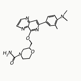 Cc1cc(-c2cc3nccnc3c(OC[C@@H]3CN(C(N)=O)CCO3)n2)ccc1N(C)C